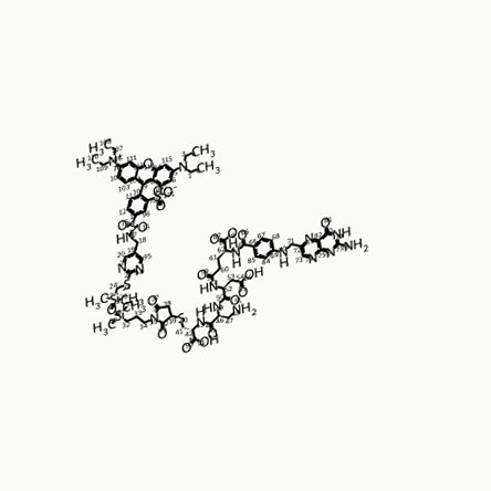 CCN(CC)c1ccc2c(-c3ccc(S(=O)(=O)NCc4cnc(SC[Si](C)(C)O[Si](C)(C)CCCN5C(=O)CC(SC[C@H](NC(=O)[C@H](CN)NC(=O)[C@H](CC(=O)O)NC(=O)CC[C@H](NC(=O)c6ccc(NCc7cnc8nc(N)[nH]c(=O)c8n7)cc6)C(=O)O)C(=O)O)C5=O)nc4)cc3S(=O)(=O)[O-])c3ccc(=[N+](CC)CC)cc-3oc2c1